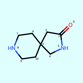 O=C1CC2([CH]N1)CCNCC2